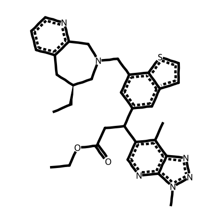 CCOC(=O)CC(c1cc(CN2Cc3ncccc3C[C@H](CC)C2)c2sccc2c1)c1cnc2c(nnn2C)c1C